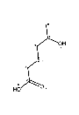 CC(O)CSCC(=O)O